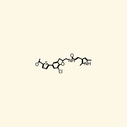 CC(=O)c1ccc(-c2cc(Cl)c3c(c2)CC(CNC(=O)C=Cc2cc(C)[nH]c2C)O3)s1